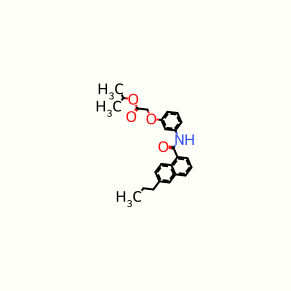 CCCc1ccc2c(C(=O)Nc3cccc(OCC(=O)OC(C)C)c3)cccc2c1